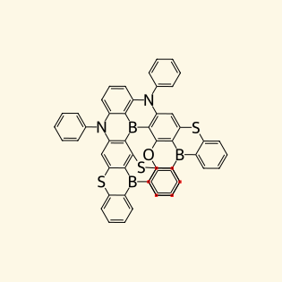 c1ccc(N2c3cccc4c3B(c3c2cc2c5c3Oc3ccccc3B5c3ccccc3S2)c2c(cc3c5c2Sc2ccccc2B5c2ccccc2S3)N4c2ccccc2)cc1